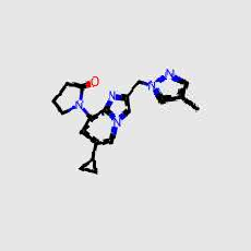 Cc1cnn(Cc2cn3cc(C4CC4)cc(N4CCCC4=O)c3n2)c1